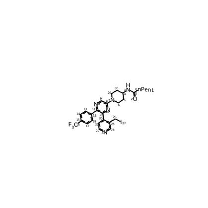 CCCCCC(=O)NC1CCN(c2cnc(-c3ccc(C(F)(F)F)cc3)c(-c3ccncc3CI)n2)CC1